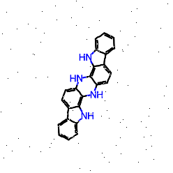 c1ccc2c(c1)[nH]c1c3c(ccc12)Nc1c(ccc2c1[nH]c1ccccc12)N3